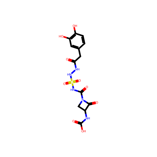 O=C(O)NC1CN(C(=O)NS(=O)(=O)NNC(=O)Cc2ccc(O)c(O)c2)C1=O